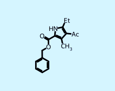 CCc1[nH]c(C(=O)OCc2ccccc2)c(C)c1C(C)=O